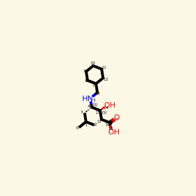 CC(C)C[C@H](NCC1CCCCC1)[C@@H](O)CC(=O)O